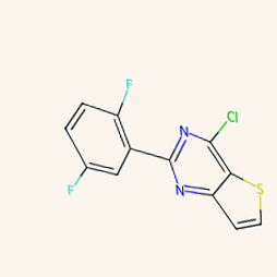 Fc1ccc(F)c(-c2nc(Cl)c3sccc3n2)c1